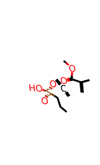 C=C(C)C(=O)OC.C=C=C.CCCS(=O)(=O)O